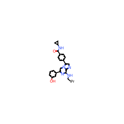 CC(C)CNc1nc(-c2cccc(O)c2)cn2c(-c3ccc(C(=O)NC4CC4)cc3)cnc12